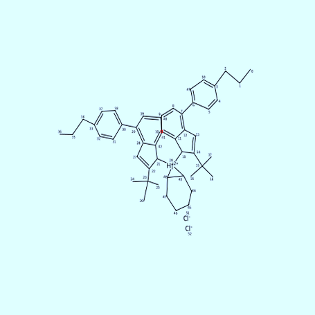 CCCc1ccc(-c2cccc3c2C=C(C(C)(C)C)[CH]3[Hf+2]2([CH]3C(C(C)(C)C)=Cc4c(-c5ccc(CCC)cc5)cccc43)[CH]3CCCC[CH]32)cc1.[Cl-].[Cl-]